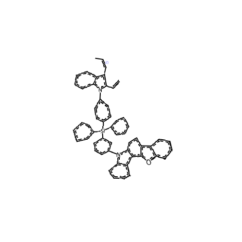 C=Cc1c(/C=C\C)c2ccccc2n1-c1ccc([Si](c2ccccc2)(c2ccccc2)c2cccc(-n3c4ccccc4c4c5oc6ccccc6c5ccc43)c2)cc1